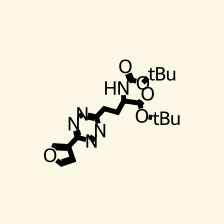 CC(C)(C)OC(=O)NC(CCc1nnc(-c2ccoc2)nn1)C(=O)OC(C)(C)C